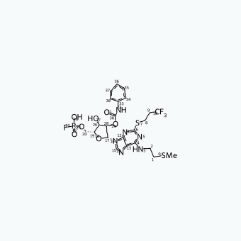 CSCCNc1nc(SCCC(F)(F)F)nc2c1ncn2[C@@H]1O[C@H](COP(=O)(O)F)[C@@H](O)[C@H]1OC(=O)Nc1ccccc1